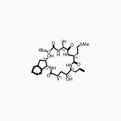 C=CC[C@H](NC(=O)[C@H](CCSC)NC(=O)[C@@H](NC(=O)OC(C)(C)C)C(C)C)[C@@H](O)C[C@@H](C)C(=O)N[C@H]1c2ccccc2C[C@H]1O